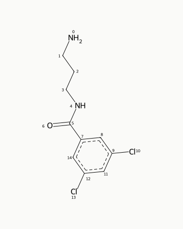 NCCCNC(=O)c1cc(Cl)cc(Cl)c1